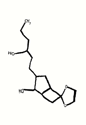 CCCC(O)CCC1CC2C(CC23OCCO3)C1O